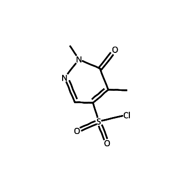 Cc1c(S(=O)(=O)Cl)cnn(C)c1=O